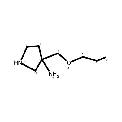 CCCOCC1(N)CCNC1